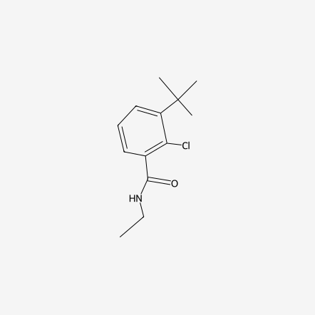 CCNC(=O)c1cccc(C(C)(C)C)c1Cl